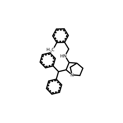 Cc1ccccc1CNC1C2CCN(C2)C1C(c1ccccc1)c1ccccc1